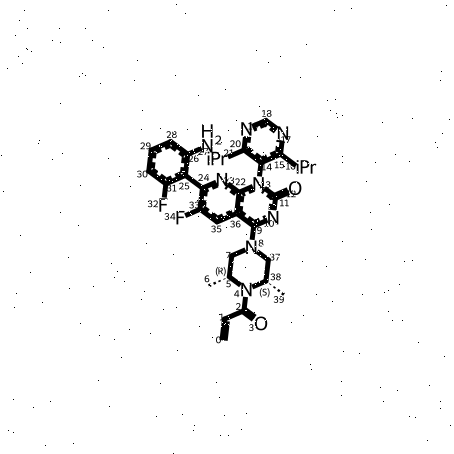 C=CC(=O)N1[C@H](C)CN(c2nc(=O)n(-c3c(C(C)C)ncnc3C(C)C)c3nc(-c4c(N)cccc4F)c(F)cc23)C[C@@H]1C